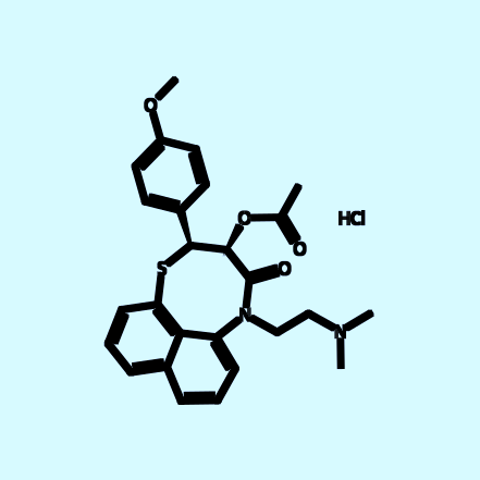 COc1ccc([C@@H]2Sc3cccc4cccc(c34)N(CCN(C)C)C(=O)[C@@H]2OC(C)=O)cc1.Cl